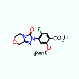 CCCC(C)Oc1cc(-n2nc3n(c2=O)CCOC3)c(F)cc1C(=O)O